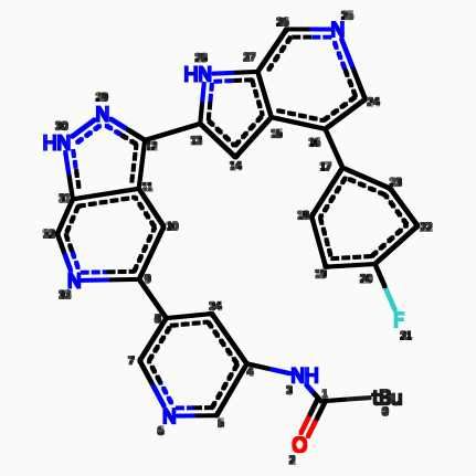 CC(C)(C)C(=O)Nc1cncc(-c2cc3c(-c4cc5c(-c6ccc(F)cc6)cncc5[nH]4)n[nH]c3cn2)c1